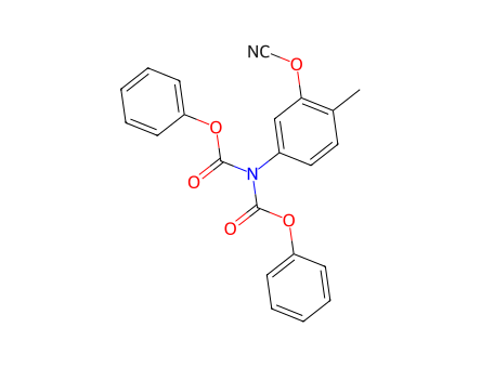 Cc1ccc(N(C(=O)Oc2ccccc2)C(=O)Oc2ccccc2)cc1OC#N